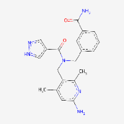 Cc1cc(N)nc(C)c1CN(Cc1cccc(C(N)=O)c1)C(=O)c1cn[nH]c1